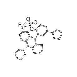 O=S(=O)(Oc1ccc(-c2ccccc2)cc1-c1c2ccccc2c(-c2ccccc2)c2ccccc12)C(F)(F)F